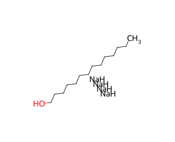 CCCCCCCCCCCCCCO.[NaH].[NaH].[NaH].[NaH]